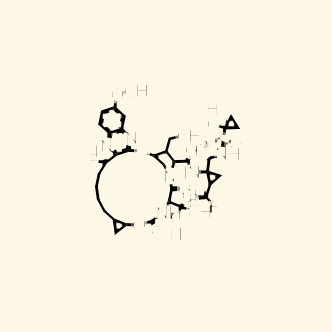 CCC1C2CN(C(=O)C(C(C)(C)C)NC(=O)OC3CC3CCCCC(F)(F)c3nc4ccc(OC)cc4nc3O2)C1C(=O)NC1(C(=O)NS(=O)(=O)C2(C)CC2)CC1C(F)F